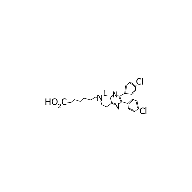 CC1c2nc(-c3ccc(Cl)cc3)c(-c3ccc(Cl)cc3)nc2CCN1CCCCCCC(=O)O